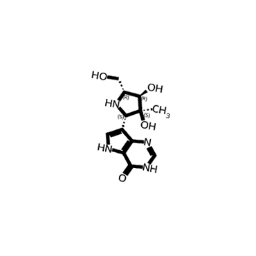 C[C@@]1(O)[C@H](O)[C@@H](CO)N[C@H]1c1c[nH]c2c(=O)[nH]cnc12